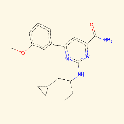 CCC(CC1CC1)Nc1nc(C(N)=O)cc(-c2cccc(OC)c2)n1